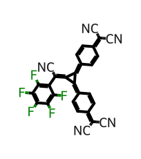 N#CC(=C1C(=c2ccc(=C(C#N)C#N)cc2)C1=c1ccc(=C(C#N)C#N)cc1)c1c(F)c(F)c(F)c(F)c1F